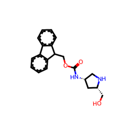 O=C(N[C@@H]1CN[C@H](CO)C1)OCC1c2ccccc2-c2ccccc21